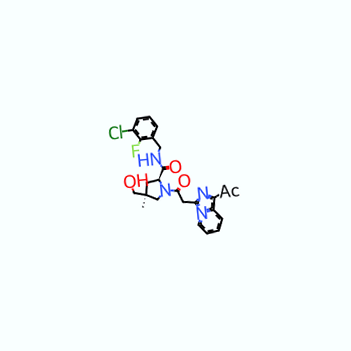 CC(=O)c1nc(CC(=O)N2C[C@@](C)(CO)C[C@H]2C(=O)NCc2cccc(Cl)c2F)n2ccccc12